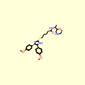 COc1ccc(-c2nc(SCCCCC(=O)NC(C)C3CNCCO3)[nH]c2-c2ccc(OC)cc2)cc1